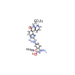 CCCCCCOC(O)/N=C(/N)c1ccc(NCc2nc3cc(C(=O)N(CCC(=O)OCC)c4ccccn4)ccc3n2C)cc1